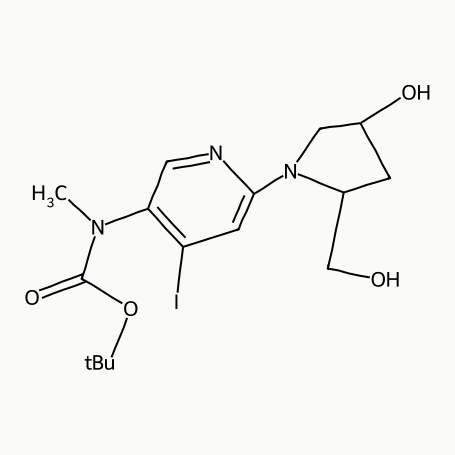 CN(C(=O)OC(C)(C)C)c1cnc(N2CC(O)CC2CO)cc1I